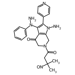 CC(C)(CC(=O)N1CC(=O)c2c(N(N)c3ccccc3)c(-c3ccncc3)n(N)c2C1)N=O